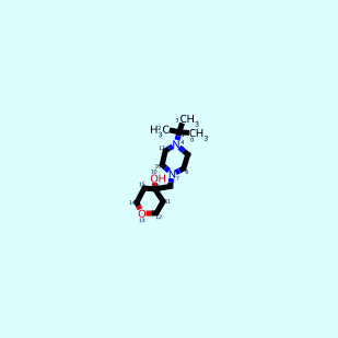 CC(C)(C)N1CCN(CC2(O)CCOCC2)CC1